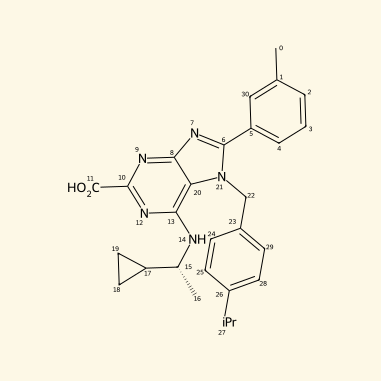 Cc1cccc(-c2nc3nc(C(=O)O)nc(N[C@H](C)C4CC4)c3n2Cc2ccc(C(C)C)cc2)c1